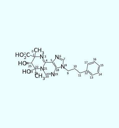 CC1(C(=O)O)N=C2c3ncn(CCCc4ccccc4)c3N=CN2C(C)(O)C1O